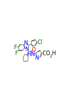 O=C(O)c1ccc(NC(=O)C(C2CCCCC2)n2c(-c3ccc(Cl)cc3)nc3cc(F)c(F)cc32)nc1